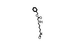 O=C=NCCCCCNCC(=O)OCc1ccccc1